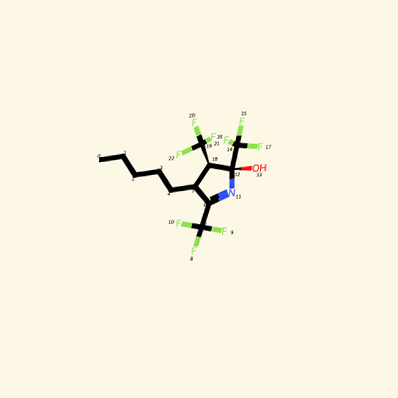 CCCCCC1C(C(F)(F)F)=N[C@@](O)(C(F)(F)F)[C@@H]1C(F)(F)F